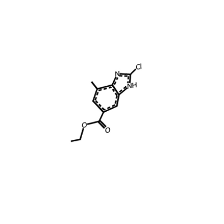 CCOC(=O)c1cc(C)c2nc(Cl)[nH]c2c1